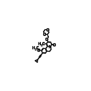 COc1cc2c(cc1C#CC1CC1)CCn1c-2c(C)c(OC[C@@H]2COCCO2)cc1=O